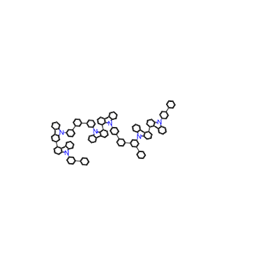 c1ccc(-c2ccc(-n3c4ccccc4c4c(-c5cccc6c5c5ccccc5n6-c5cc(-c6ccccc6)cc(-c6cccc(-c7ccc(-n8c9ccccc9c9cccc(-c%10cccc%11c%12ccccc%12n(-c%12cccc(-c%13cccc(-c%14cccc(-n%15c%16ccccc%16c%16ccc(-c%17cccc%18c%17c%17ccccc%17n%18-c%17cccc(-c%18ccccc%18)c%17)cc%16%15)c%14)c%13)c%12)c%10%11)c98)cc7)c6)c5)cccc43)cc2)cc1